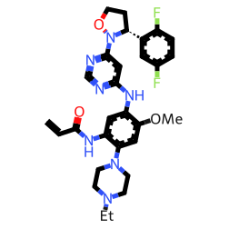 C=CC(=O)Nc1cc(Nc2cc(N3OCC[C@@H]3c3cc(F)ccc3F)ncn2)c(OC)cc1N1CCN(CC)CC1